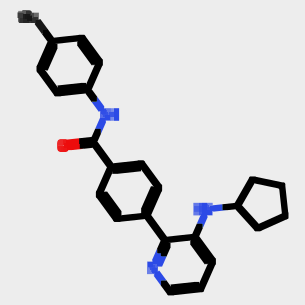 CC(C)(C)c1ccc(NC(=O)c2ccc(-c3ncccc3NC3CCCC3)cc2)cc1